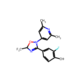 [CH]c1ccc(C2=NC(C(F)(F)F)ON2c2cc(C)nc(C)c2)cc1F